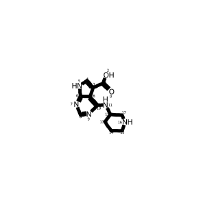 O=C(O)c1c[nH]c2ncnc(NC3CCCNC3)c12